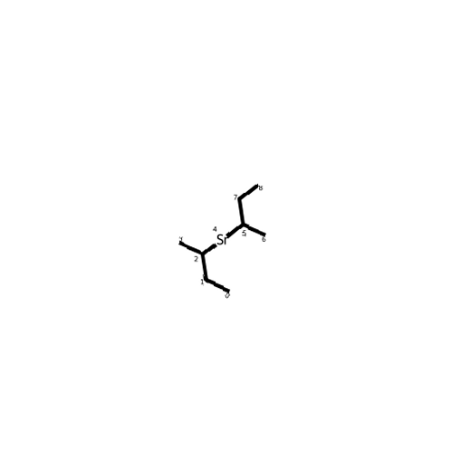 CC[CH](C)[Sr][CH](C)CC